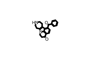 O=C(c1ccccc1)c1ccc2c3c1c1c(n3CCC2=O)CCNCC1